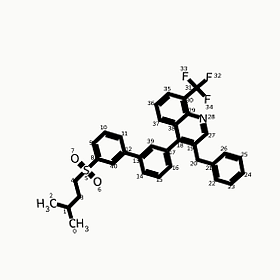 CC(C)CCS(=O)(=O)c1cccc(-c2cccc(-c3c(Cc4ccccc4)cnc4c(C(F)(F)F)cccc34)c2)c1